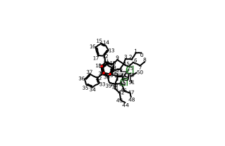 CCCCC1(CCCC)Cc2c(-c3ccccc3)cccc2[CH]1[Zr]([Cl])([Cl])([CH]1c2cccc(-c3ccccc3)c2CC1(CCCC)CCCC)[SiH](C)C